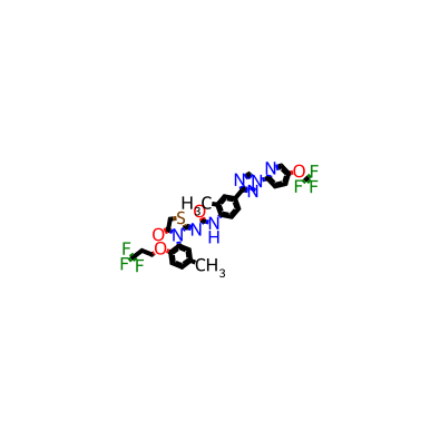 Cc1ccc(OCCC(F)(F)F)c(N2C(=O)CS/C2=N\C(=O)Nc2ccc(-c3ncn(-c4ccc(OC(F)(F)F)cn4)n3)cc2C)c1